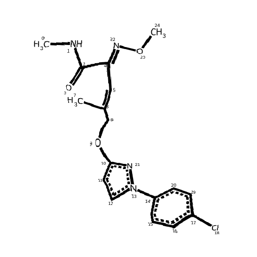 CNC(=O)C(/C=C(\C)COc1ccn(-c2ccc(Cl)cc2)n1)=N/OC